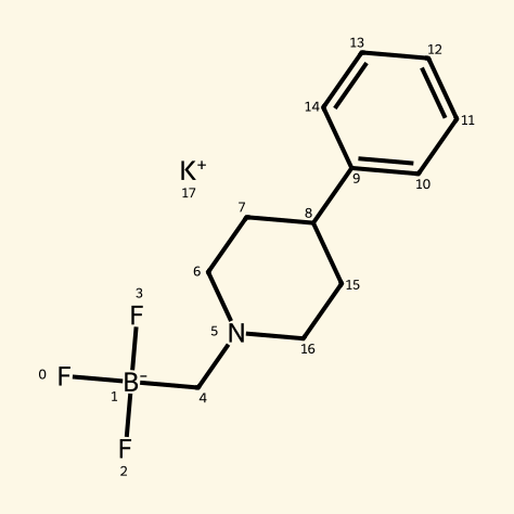 F[B-](F)(F)CN1CCC(c2ccccc2)CC1.[K+]